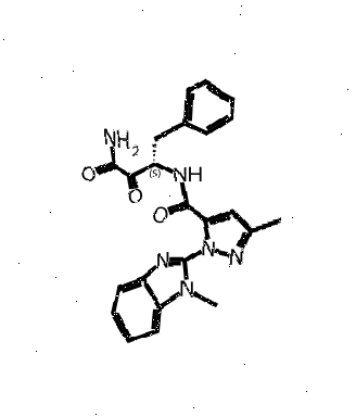 Cc1cc(C(=O)N[C@@H](Cc2ccccc2)C(=O)C(N)=O)n(-c2nc3ccccc3n2C)n1